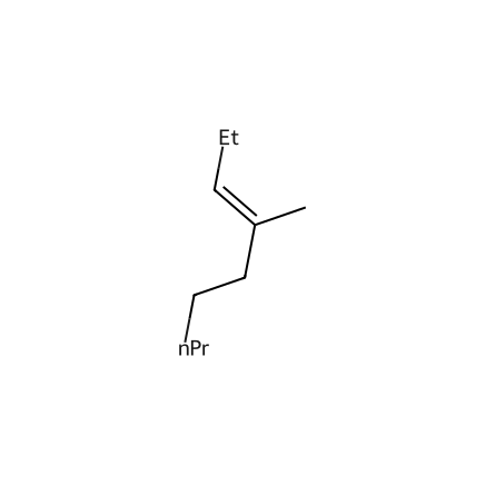 [CH2]CCCCC(C)=CCC